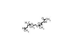 CNCCC(C)(C)OCCOC(C)(C)CCNC(C)=O